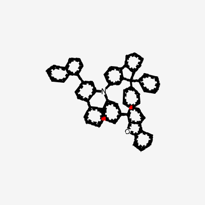 c1ccc(-c2ccc(-c3cccc4ccccc34)cc2N(c2cccc(-c3cccc4c3oc3ccccc34)c2)c2ccc3c(c2)C(c2ccccc2)(c2ccccc2)c2ccccc2-3)cc1